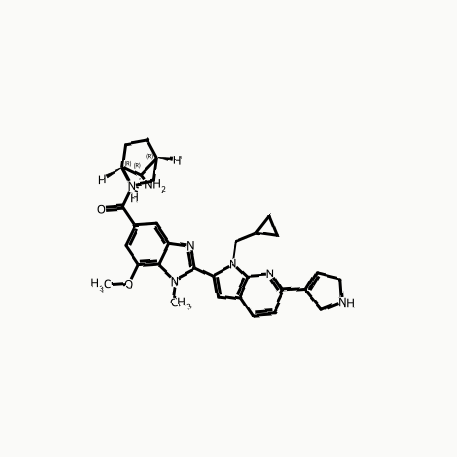 COc1cc(C(=O)N2C[C@H]3CC[C@@H]2[C@@H]3N)cc2nc(-c3cc4ccc(C5=CCNC5)nc4n3CC3CC3)n(C)c12